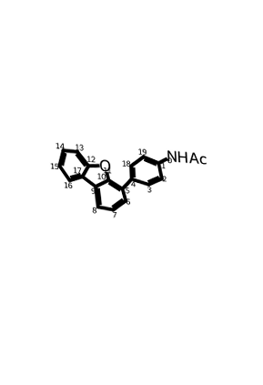 CC(=O)Nc1ccc(-c2cccc3c2oc2ccccc23)cc1